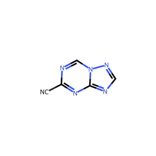 N#Cc1ncn2ncnc2n1